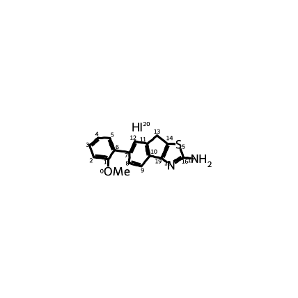 COc1ccccc1-c1ccc2c(c1)Cc1sc(N)nc1-2.I